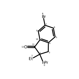 CCCC1(CC)Cc2ccc(Br)cc2C1=O